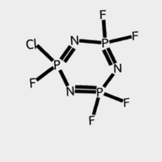 FP1(F)=NP(F)(F)=NP(F)(Cl)=N1